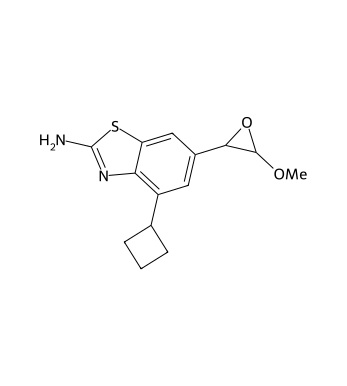 COC1OC1c1cc(C2CCC2)c2nc(N)sc2c1